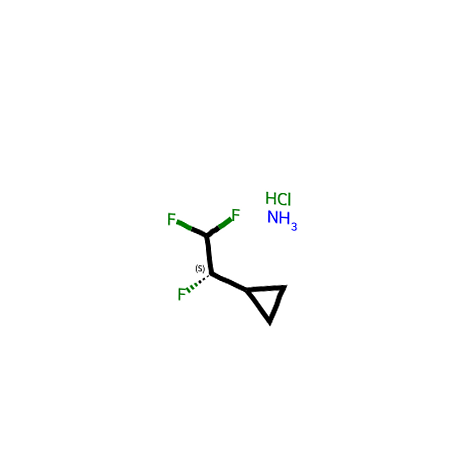 Cl.FC(F)[C@@H](F)C1CC1.N